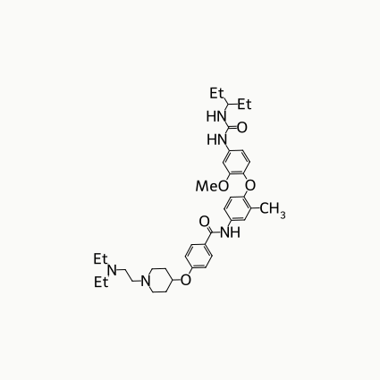 CCC(CC)NC(=O)Nc1ccc(Oc2ccc(NC(=O)c3ccc(OC4CCN(CCN(CC)CC)CC4)cc3)cc2C)c(OC)c1